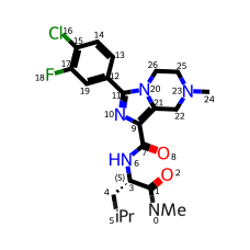 CNC(=O)[C@H](CC(C)C)NC(=O)c1nc(-c2ccc(Cl)c(F)c2)n2c1CN(C)CC2